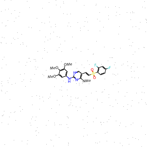 CNc1nc(Nc2cc(OC)c(OC)c(OC)c2)ncc1/C=C/S(=O)(=O)c1ccc(F)cc1F